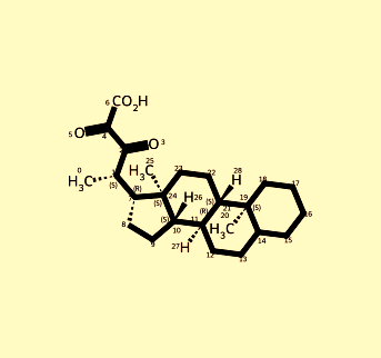 C[C@H](C(=O)C(=O)C(=O)O)[C@H]1CC[C@H]2[C@@H]3CCC4CCCC[C@]4(C)[C@H]3CC[C@]12C